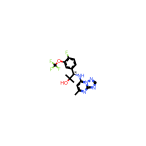 Cc1cc(N[C@H](c2ccc(F)c(OC(F)(F)F)c2)C(C)(C)O)n2ncnc2n1